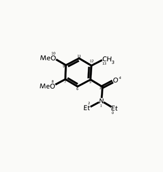 CCN(CC)C(=O)c1cc(OC)c(OC)cc1C